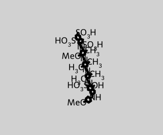 COc1ccc(Nc2ccc3c(O)c(N=Nc4cc(C)c(N=Nc5cc(C)c(N=Nc6cc(C)c(N=Nc7cc8c(S(=O)(=O)O)cc(S(=O)(=O)O)cc8cc7S(=O)(=O)O)cc6OC)cc5C)cc4C)c(S(=O)(=O)O)cc3c2)cc1